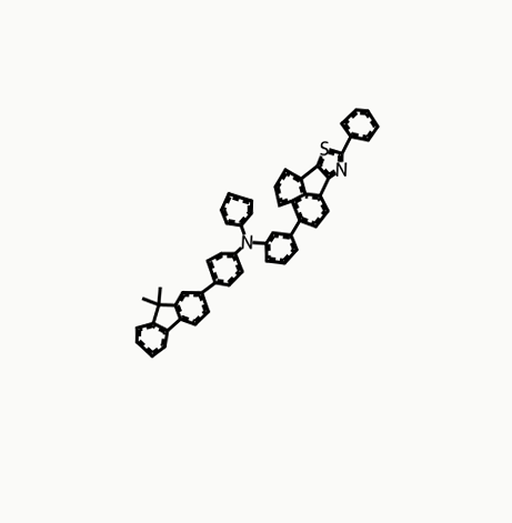 CC1(C)c2ccccc2-c2ccc(-c3ccc(N(c4ccccc4)c4cccc(-c5ccc6c7c(cccc57)-c5sc(-c7ccccc7)nc5-6)c4)cc3)cc21